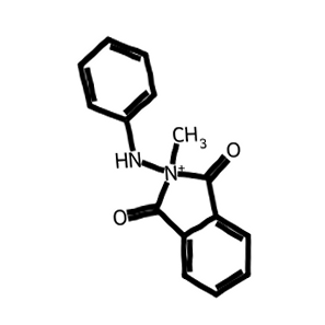 C[N+]1(Nc2ccccc2)C(=O)c2ccccc2C1=O